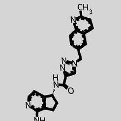 Cc1ccc2cc(Cn3cc(C(=O)N[C@@H]4CCc5c4ccnc5N)nn3)ccc2n1